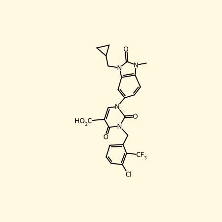 Cn1c(=O)n(CC2CC2)c2cc(-n3cc(C(=O)O)c(=O)n(Cc4cccc(Cl)c4C(F)(F)F)c3=O)ccc21